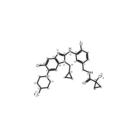 O=C(NCc1ccc(Cl)c(Nc2nc3cc(Cl)c(N4CCC(C(F)(F)F)CC4)cc3n2CC2CC2)c1)C1(C(F)(F)F)CC1